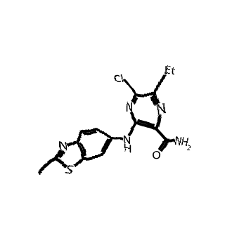 CCc1nc(C(N)=O)c(Nc2ccc3nc(C)sc3c2)nc1Cl